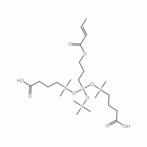 CC=CC(=O)OCCC[Si](O[Si](C)(C)C)(O[Si](C)(C)CCCC(=O)O)O[Si](C)(C)CCCC(=O)O